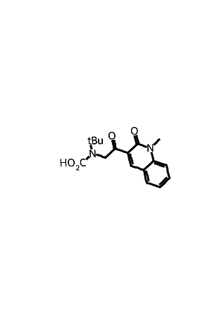 Cn1c(=O)c(C(=O)CN(C(=O)O)C(C)(C)C)cc2ccccc21